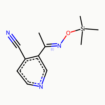 C/C(=N\O[Si](C)(C)C)c1cnccc1C#N